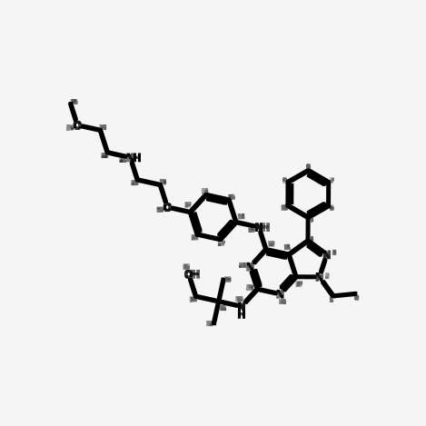 CCn1nc(-c2ccccc2)c2c(Nc3ccc(OCCNCCOC)cc3)nc(NC(C)(C)CO)nc21